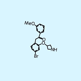 COc1cccc(C(=O)Cc2ccc(Br)cc2OC2CNC2)c1